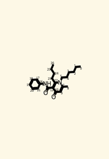 CCCCCCn1c(C)cc(=O)c(C(=O)Nc2ccccc2)c1CCCC